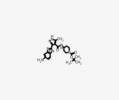 Cc1[nH]nc(-c2nc3cc(N)ccc3[nH]2)c1C(=O)NC1CCN(C(=O)OC(C)(C)C)CC1